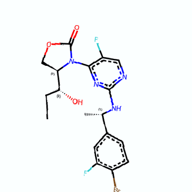 CC[C@@H](O)[C@H]1COC(=O)N1c1nc(N[C@@H](C)c2ccc(Br)c(F)c2)ncc1F